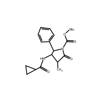 CC1C(=O)N(C(=O)OC(C)(C)C)C(c2ccccc2)C1NC(=O)C1CC1